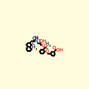 CC(OC[C@@H](O)CNC(C)(C)Cc1ccc2ccccc2c1)c1ccccc1OCc1cccc(C(=O)O)c1